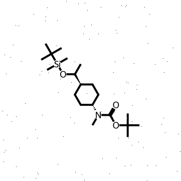 CC(O[Si](C)(C)C(C)(C)C)[C@H]1CC[C@H](N(C)C(=O)OC(C)(C)C)CC1